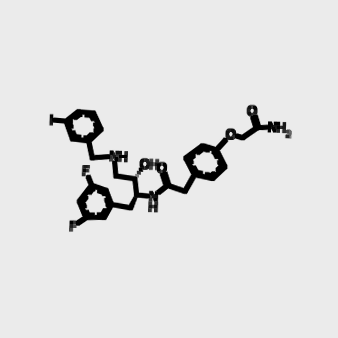 NC(=O)COc1ccc(CC(=O)N[C@@H](Cc2cc(F)cc(F)c2)[C@@H](O)CNCc2cccc(I)c2)cc1